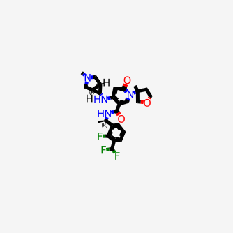 C[C@@H](NC(=O)c1cn(C2(C)CCOC2)c(=O)cc1NC1[C@H]2CN(C)C[C@@H]12)c1cccc(C(F)F)c1F